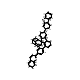 c1cc(-c2ccc(-c3ccc4ccccc4n3)cc2)c2c(c1)-c1cc(-c3ccc4c(c3)oc3ccccc34)ccc1C21C2CC3CC(C2)CC1C3